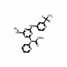 COC(=O)N(c1ccccn1)c1nc(Nc2ccnc(C(C)(F)F)c2)nc(NC(C)C)n1